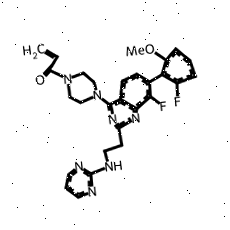 C=CC(=O)N1CCN(c2nc(CCNc3ncccn3)nc3c(F)c(-c4c(F)cccc4OC)ccc23)CC1